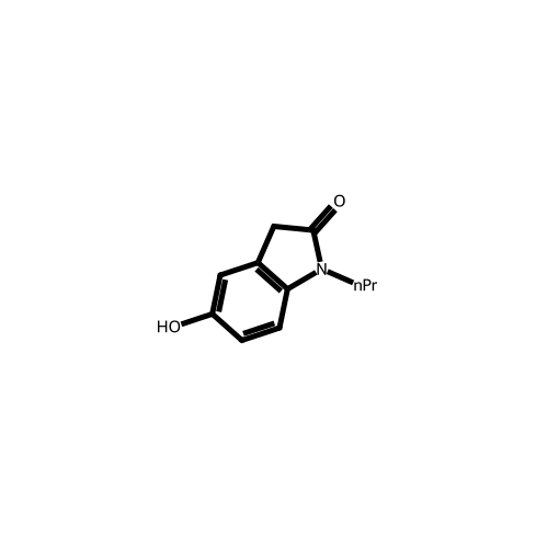 CCCN1C(=O)Cc2cc(O)ccc21